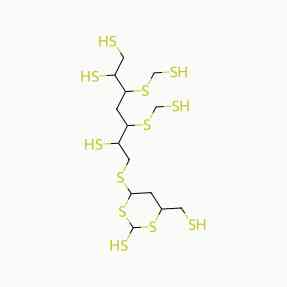 SCSC(CC(SCS)C(S)CSC1CC(CS)SC(S)S1)C(S)CS